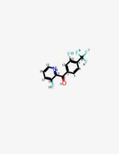 O=C(c1ccc(C(F)(F)F)c(F)c1)c1ncccc1F